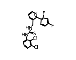 Fc1ccc(-c2ncccc2CNC(=S)Nc2cccc(Cl)c2Cl)c(F)c1